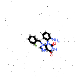 Nc1ccccc1-n1c(=O)[nH]c(=O)c2ncn(Cc3ccccc3F)c21